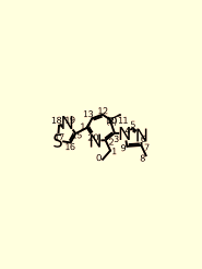 CCC1=C(n2cnc(C)c2)[C@H](C)C=CC(c2cscn2)=N1